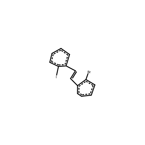 Brc1ccccc1C=Cc1ccccc1I